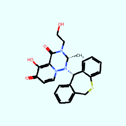 C[C@H]1N(CCO)C(=O)c2c(O)c(=O)ccn2N1[C@H]1c2ccccc2CSc2ccccc21